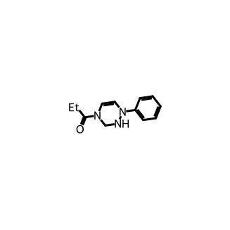 CCC(=O)N1C=CN(c2ccccc2)NC1